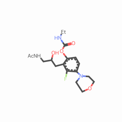 CCNC(=O)Oc1ccc(N2CCOCC2)c(F)c1CC(O)CNC(C)=O